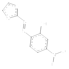 CCN(CC)c1ccc(/N=N/c2nccs2)c(O)c1